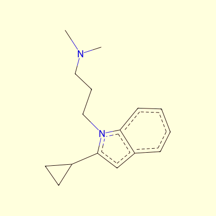 CN(C)CCCn1c(C2CC2)cc2ccccc21